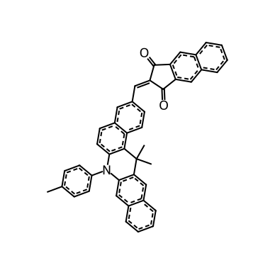 Cc1ccc(N2c3cc4ccccc4cc3C(C)(C)c3c2ccc2cc(C=C4C(=O)c5cc6ccccc6cc5C4=O)ccc32)cc1